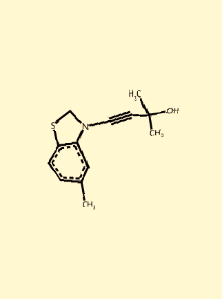 Cc1ccc2c(c1)N(C#CC(C)(C)O)CS2